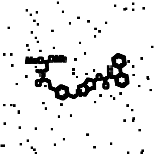 COC(CN(C)C(=O)CCc1ccc(CN2CC3CC(OC(=O)Nc4ccccc4-c4ccccc4)CC3C2)cc1)OC